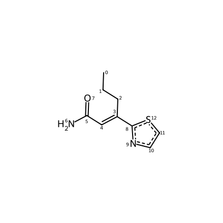 CCCC(=CC(N)=O)c1nccs1